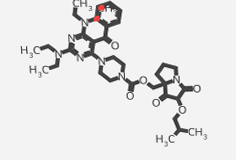 CCN(CC)c1nc(N(CC)CC)c(C(=O)c2ccccc2)c(N2CCN(C(=O)OCC34CCCN3C(=O)C(OCC(C)C)C4=O)CC2)n1